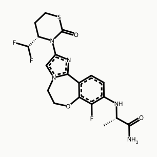 C[C@H](Nc1ccc2c(c1F)OCCn1cc(N3C(=O)SCC[C@H]3C(F)F)nc1-2)C(N)=O